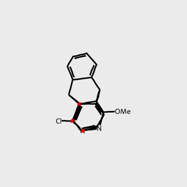 COc1nnc(Cl)c2c1C1c3ccccc3C2c2ccccc21